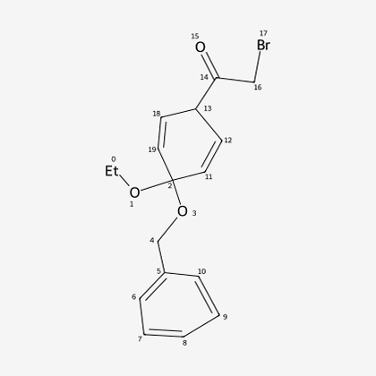 CCOC1(OCc2ccccc2)C=CC(C(=O)CBr)C=C1